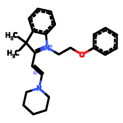 CC1(C)C(/C=C/N2CCCCC2)=[N+](CCOc2ccccc2)c2ccccc21